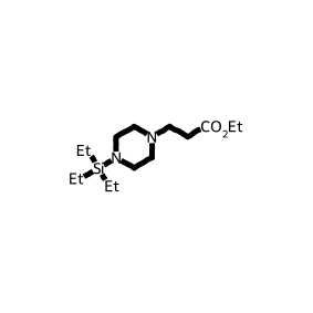 CCOC(=O)CCN1CCN([Si](CC)(CC)CC)CC1